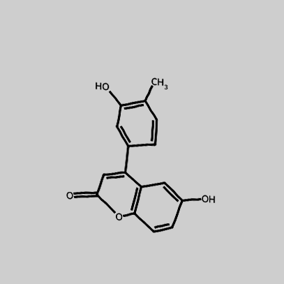 Cc1ccc(-c2cc(=O)oc3ccc(O)cc23)cc1O